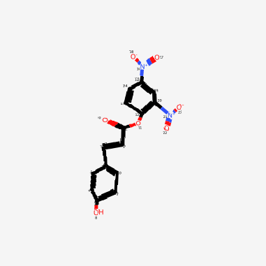 O=C(C=Cc1ccc(O)cc1)Oc1ccc([N+](=O)[O-])cc1[N+](=O)[O-]